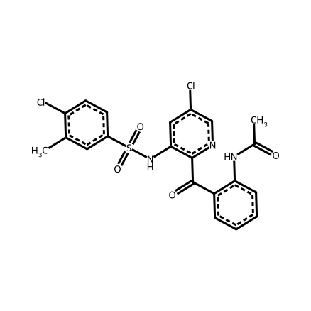 CC(=O)Nc1ccccc1C(=O)c1ncc(Cl)cc1NS(=O)(=O)c1ccc(Cl)c(C)c1